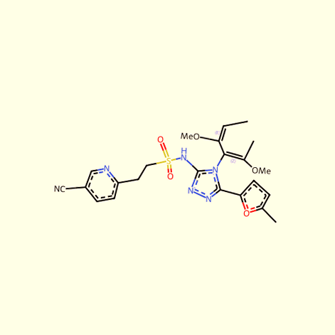 C/C=C(OC)\C(=C(/C)OC)n1c(NS(=O)(=O)CCc2ccc(C#N)cn2)nnc1-c1ccc(C)o1